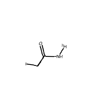 [2H]NC(=O)CI